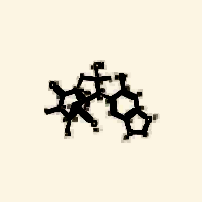 CN1C(=O)[C@@]23C[C@](C)(C#N)[C@H](c4cc5c(cc4Br)OCO5)N2C(=O)[C@]1(C)SS3